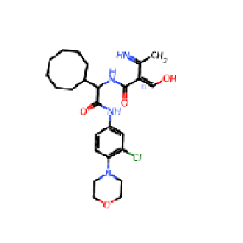 CC(=N)/C(=C\O)C(=O)NC(C(=O)Nc1ccc(N2CCOCC2)c(Cl)c1)C1CCCCCCC1